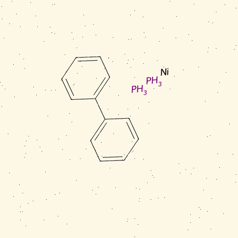 P.P.[Ni].c1ccc(-c2ccccc2)cc1